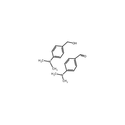 CN(C)c1ccc(C=O)cc1.CN(C)c1ccc(CO)cc1